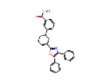 COC(=O)c1cccc(C2CCC=C(c3nc(-c4ccccc4)c(-c4ccccc4)o3)C2)c1